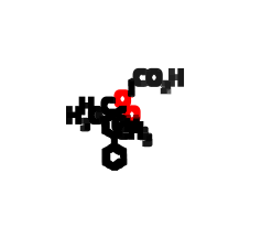 CC(=CC(C)c1ccccc1)C(C)(C)C(=O)OCCC(=O)O